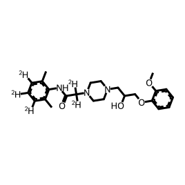 [2H]c1c([2H])c(C)c(NC(=O)C([2H])([2H])N2CCN(CC(O)COc3ccccc3OC)CC2)c(C)c1[2H]